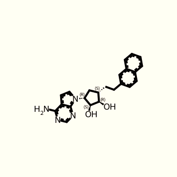 Nc1ncnc2c1ccn2[C@@H]1C[C@H](CCc2ccc3ccccc3c2)[C@@H](O)[C@H]1O